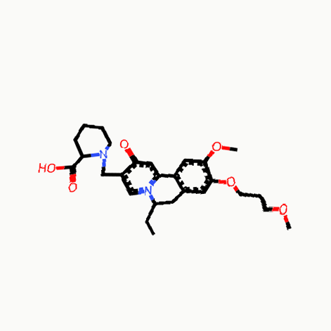 CCC1Cc2cc(OCCCOC)c(OC)cc2-c2cc(=O)c(CN3CCCCC3C(=O)O)cn21